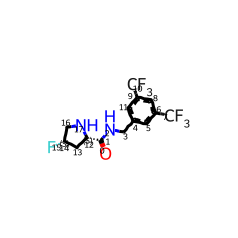 O=C(NCc1cc(C(F)(F)F)cc(C(F)(F)F)c1)[C@@H]1C[C@H](F)CN1